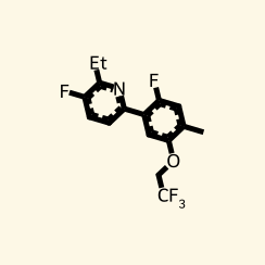 CCc1nc(-c2cc(OCC(F)(F)F)c(C)cc2F)ccc1F